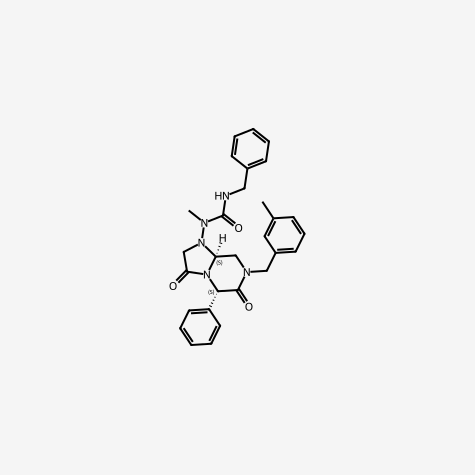 Cc1cccc(CN2C[C@H]3N(C(=O)CN3N(C)C(=O)NCc3ccccc3)[C@@H](c3ccccc3)C2=O)c1